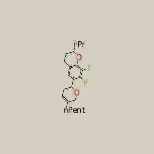 CCCCCC1=CCC(c2cc3c(c(F)c2F)OC(CCC)CC3)OC1